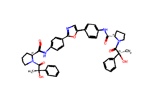 CC(O)(C(=O)N1CCC[C@H]1C(=O)Nc1ccc(-c2ncc(-c3ccc(NC(=O)[C@@H]4CCCN4C(=O)[C@@](C)(O)c4ccccc4)cc3)o2)cc1)c1ccccc1